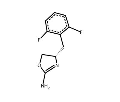 NC1=N[C@@H](Cc2c(F)cccc2F)CO1